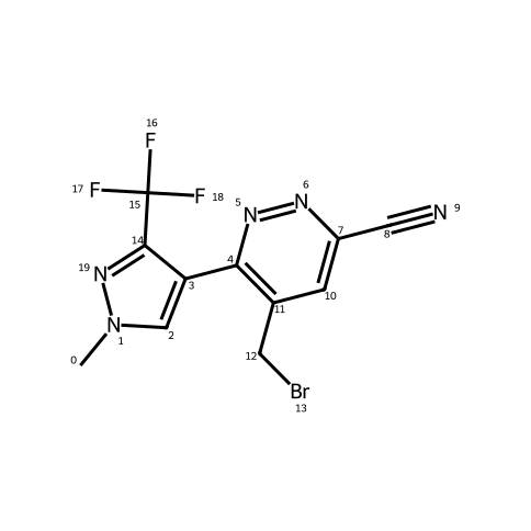 Cn1cc(-c2nnc(C#N)cc2CBr)c(C(F)(F)F)n1